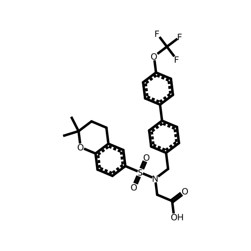 CC1(C)CCc2cc(S(=O)(=O)N(CC(=O)O)Cc3ccc(-c4ccc(OC(F)(F)F)cc4)cc3)ccc2O1